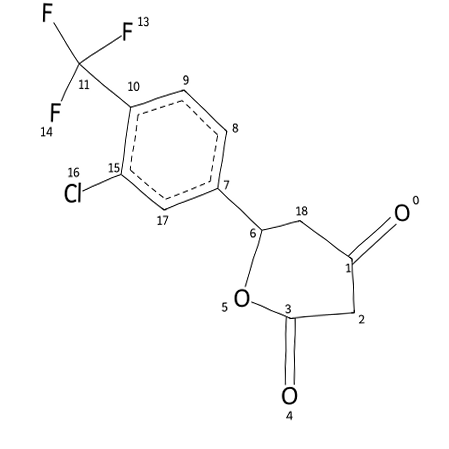 O=C1CC(=O)OC(c2ccc(C(F)(F)F)c(Cl)c2)C1